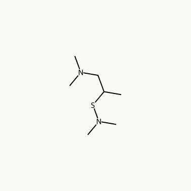 CC(CN(C)C)SN(C)C